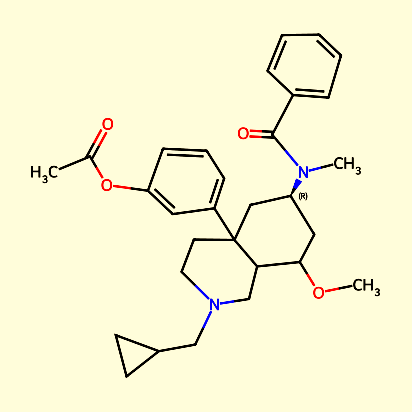 COC1C[C@H](N(C)C(=O)c2ccccc2)CC2(c3cccc(OC(C)=O)c3)CCN(CC3CC3)CC12